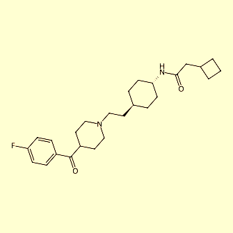 O=C(CC1CCC1)N[C@H]1CC[C@H](CCN2CCC(C(=O)c3ccc(F)cc3)CC2)CC1